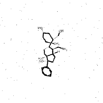 C[C@@]1([C@H]2CC[C@@]3(C)[C@@H](CC[C@@]3(O)c3ccccc3)[C@@H]2CN)CC[C@H](O)C[C@@H]1CO